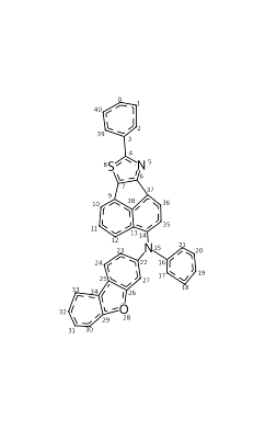 c1ccc(-c2nc3c(s2)-c2cccc4c(N(c5ccccc5)c5ccc6c(c5)oc5ccccc56)ccc-3c24)cc1